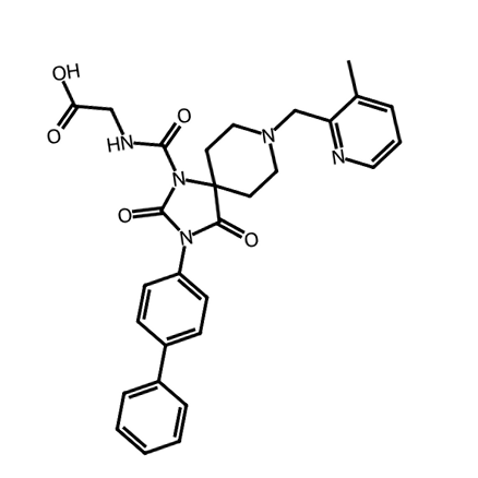 Cc1cccnc1CN1CCC2(CC1)C(=O)N(c1ccc(-c3ccccc3)cc1)C(=O)N2C(=O)NCC(=O)O